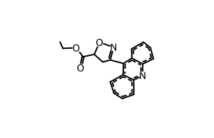 CCOC(=O)C1CC(c2c3ccccc3nc3ccccc23)=NO1